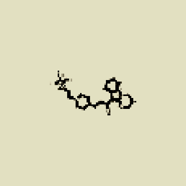 CS(=O)(=O)NCCN1CCC(CCC(=O)c2c3n(c4ccccc24)CCCO3)CC1